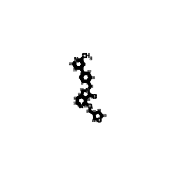 Cc1cc(-c2ccc(CN3Cc4ccnc(OCC5CCOC5)c4C3=O)cc2)ccn1